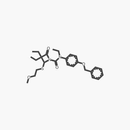 CCN(C(=O)N1C(=O)C(CC)(CC)C1SCCOC)c1ccc(OCc2ccccc2)cc1